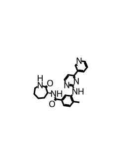 Cc1ccc(C(=O)N[C@H]2CCCCNC2=O)cc1Nc1nccc(-c2cccnc2)n1